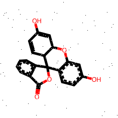 O=C1OC2(c3ccc(O)cc3OC3C=C(O)C=CC32)c2ccccc21